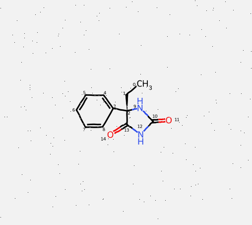 CC[C@@]1(c2ccccc2)NC(=O)NC1=O